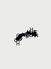 CC(C)(C(=O)Nc1cnc(C#N)c(C(F)(F)F)c1)n1cc(/C=C(\C#N)C2CN(c3ccc4c(c3)C(=O)N(C3CCC(=O)NC3=O)C4=O)C2)cn1